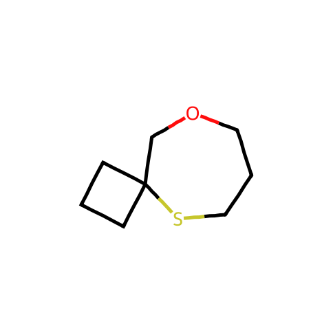 C1COCC2(CCC2)SC1